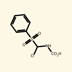 O=C(O)NC(Cl)S(=O)(=O)c1ccccc1